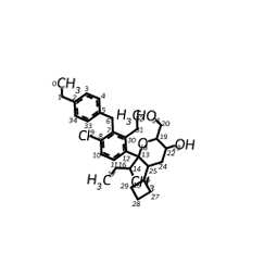 CCc1ccc(Cc2c(Cl)ccc(C3(C(C)CC)OC(CO)C(O)CC3C3CCC3)c2CC)cc1